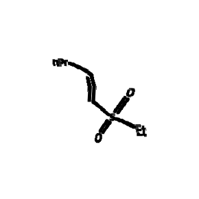 CCCC=CS(=O)(=O)CC